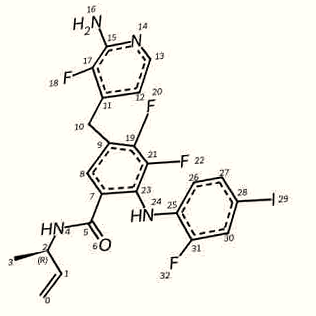 C=C[C@@H](C)NC(=O)c1cc(Cc2ccnc(N)c2F)c(F)c(F)c1Nc1ccc(I)cc1F